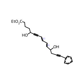 CCOC(=O)CCCC(O)C#C/C=C/C=C/C(O)CC#Cc1ccccc1